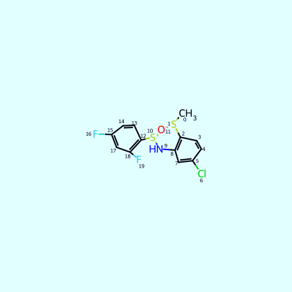 CSc1ccc(Cl)cc1N[S+]([O-])c1ccc(F)cc1F